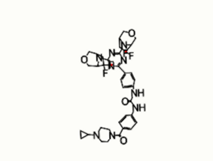 O=C(Nc1ccc(C(=O)N2CCN(C3CC3)CC2)cc1)Nc1ccc(-c2nc(N3C4COCC3C(F)(F)C4)nc(N3C4COCC3C(F)(F)C4)n2)cc1